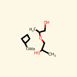 CC(O)COC(C)CO.COC1CCC1